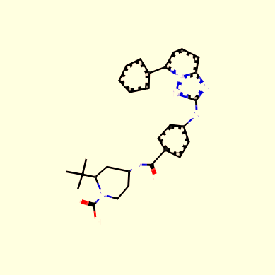 CC(C)(C)C1CC(NC(=O)c2ccc(Nc3nc4cccc(-c5ccccc5)n4n3)cc2)CCN1C(=O)O